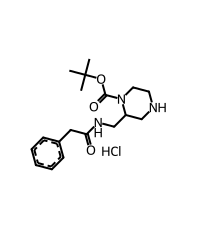 CC(C)(C)OC(=O)N1CCNCC1CNC(=O)Cc1ccccc1.Cl